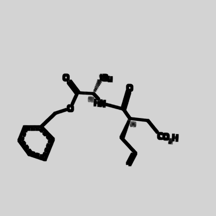 C=CC[C@H](CC(=O)O)C(=O)N[C@H](C(=O)OCc1ccccc1)C(C)(C)C